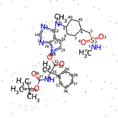 CNS(=O)(=O)CC1CCC(N(C)c2ncnc3c2ccn3OC(=O)C(C)(NC(=O)OC(C)(C)C)c2ccccc2)CC1